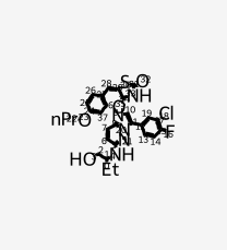 CCC(CO)Nc1ccc2ncc(-c3ccc(F)c(Cl)c3)n2n1.CCCOc1ccc(C=C2SC(=O)NC2=O)cc1